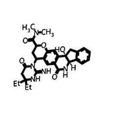 CCC1(CC)CC(=O)N(C2CC(C(=O)N(C)C)Oc3cc4c(cc32)C(=O)N[C@@H]2c3ccccc3C[C@]42O)C(=N)N1